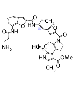 C=CC1=C(c2c(CO)[nH]c(C)c2C(=O)OC)CCN1C(=O)c1cc(/C=C(\C=C)NC(=O)c2cc3cccc(NC(=O)CCN)c3o2)co1